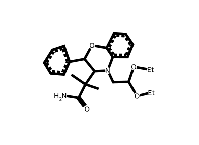 CCOC(CN1c2ccccc2OC(c2ccccc2)C1C(C)(C)C(N)=O)OCC